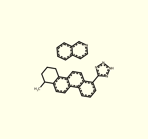 CC1CCCc2c1ccc1c2ccc2c(-c3nn[nH]n3)cccc21.c1ccc2cnccc2c1